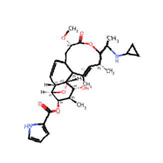 CO[C@H]1CC2C=C[C@H]3[C@H]4O[C@]2(/C(C)=C/[C@@H](C)C(C(C)NC2CC2)OC1=O)[C@@H]3[C@H](O)[C@@H](C)[C@H]4OC(=O)c1ccc[nH]1